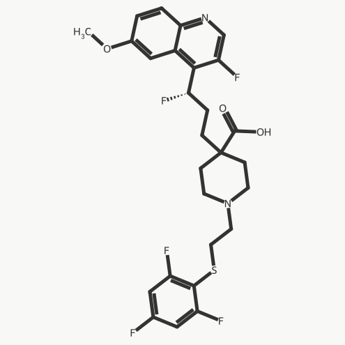 COc1ccc2ncc(F)c([C@@H](F)CCC3(C(=O)O)CCN(CCSc4c(F)cc(F)cc4F)CC3)c2c1